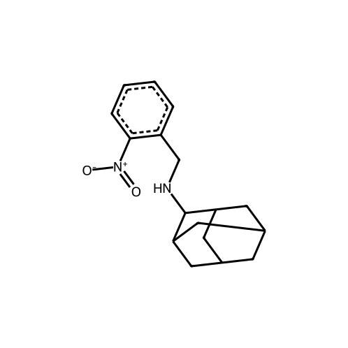 O=[N+]([O-])c1ccccc1CNC1C2CC3CC(C2)CC1C3